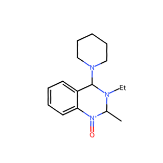 CCN1C(N2CCCCC2)c2ccccc2[N+](=O)C1C